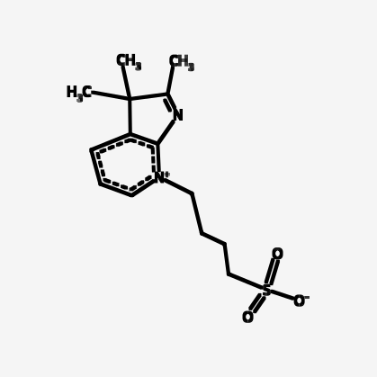 CC1=Nc2c(ccc[n+]2CCCCS(=O)(=O)[O-])C1(C)C